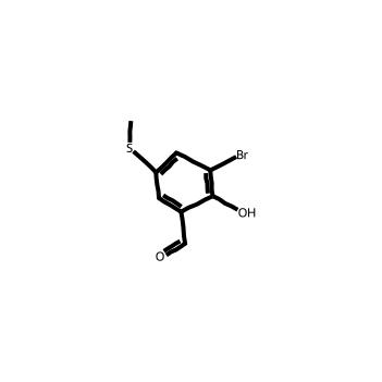 CSc1cc(Br)c(O)c(C=O)c1